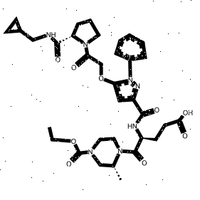 CCOC(=O)N1CCN(C(=O)[C@H](CCC(=O)O)NC(=O)c2cc(OCC(=O)N3CCC[C@H]3C(=O)NCC3CC3)n(-c3ccccc3)n2)[C@H](C)C1